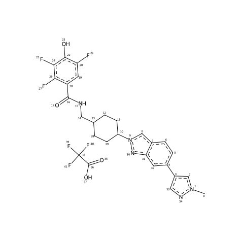 Cn1cc(-c2ccc3cn(C4CCC(CNC(=O)c5cc(F)c(O)c(F)c5F)CC4)nc3c2)cn1.O=C(O)C(F)(F)F